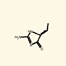 C/C=C1\NC(N)=NC1=O